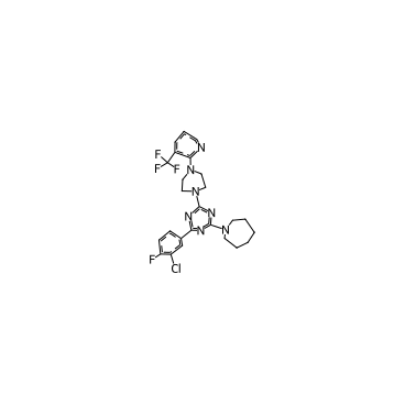 Fc1ccc(-c2nc(N3CCCCCC3)nc(N3CCN(c4ncccc4C(F)(F)F)CC3)n2)cc1Cl